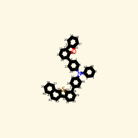 c1ccc(N(c2ccc(-c3cccc4c3oc3ccccc34)cc2)c2ccc(-c3cccc4c3sc3c5ccccc5ccc43)cc2)cc1